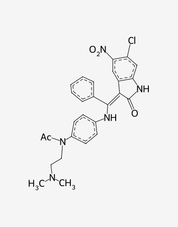 CC(=O)N(CCN(C)C)c1ccc(N/C(=C2\C(=O)Nc3cc(Cl)c([N+](=O)[O-])cc32)c2ccccc2)cc1